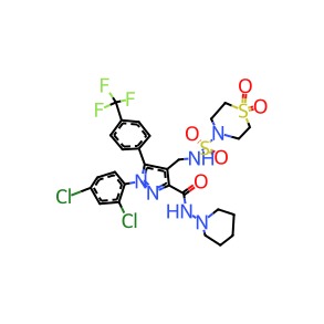 O=C(NN1CCCCC1)c1nn(-c2ccc(Cl)cc2Cl)c(-c2ccc(C(F)(F)F)cc2)c1CNS(=O)(=O)N1CCS(=O)(=O)CC1